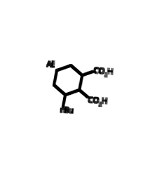 CCCCC1CCCC(C(=O)O)C1C(=O)O.[Al]